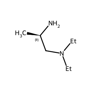 CCN(CC)C[C@@H](C)N